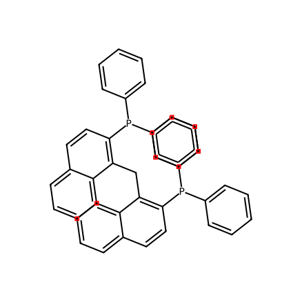 c1ccc(P(c2ccccc2)c2ccc3ccccc3c2Cc2c(P(c3ccccc3)c3ccccc3)ccc3ccccc23)cc1